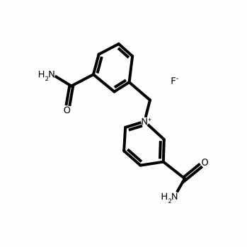 NC(=O)c1cccc(C[n+]2cccc(C(N)=O)c2)c1.[F-]